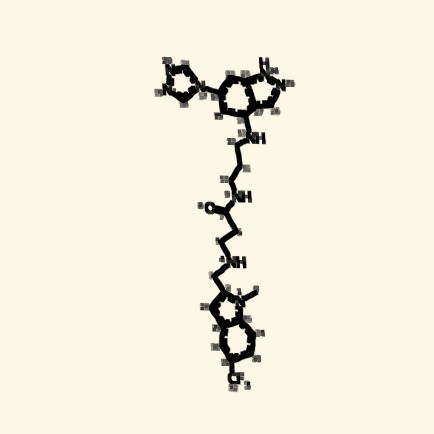 Cn1c(CNCCC(=O)NCCCNc2cc(-n3cnnc3)cc3[nH]ncc23)cc2cc(C(F)(F)F)ccc21